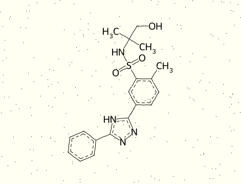 Cc1ccc(-c2nnc(-c3ccccc3)[nH]2)cc1S(=O)(=O)NC(C)(C)CO